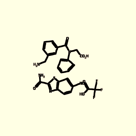 NC(=O)c1nc2ccc([N+](=O)[O-])cc2s1.NCc1cccc(C(=O)N(CC(=O)O)c2ccccc2)c1.O=C(O)C(F)(F)F